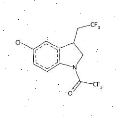 O=C(N1CC(CC(F)(F)F)c2cc(Cl)ccc21)C(F)(F)F